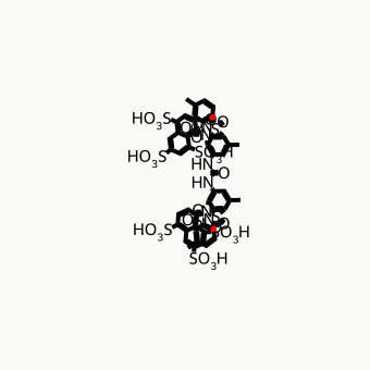 Cc1ccc2cc1S(=O)(=O)N2c1c2c(NC(=O)Nc3cc(C)c4c(N5c6ccc(C)c(c6)S5(=O)=O)c3N(c3ccc(S(=O)(=O)O)c5cc(S(=O)(=O)O)cc(S(=O)(=O)O)c35)S4(=O)=O)cc(C)c1S(=O)(=O)N2c1ccc(S(=O)(=O)O)c2cc(S(=O)(=O)O)cc(S(=O)(=O)O)c12